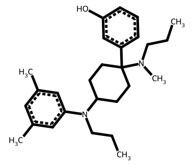 CCCN(c1cc(C)cc(C)c1)C1CCC(c2cccc(O)c2)(N(C)CCC)CC1